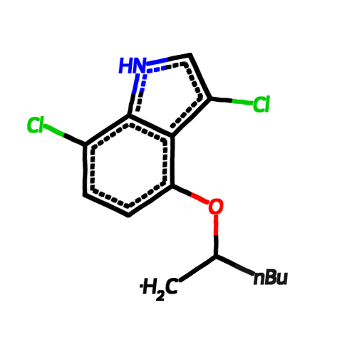 [CH2]C(CCCC)Oc1ccc(Cl)c2[nH]cc(Cl)c12